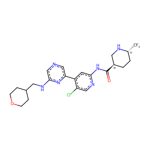 O=C(Nc1cc(-c2cncc(NCC3CCOCC3)n2)c(Cl)cn1)[C@@H]1CC[C@@H](C(F)(F)F)NC1